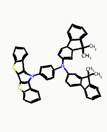 CC1(C)C2=CC(N(C3=CC4C(C=C3)c3ccccc3C4(C)C)c3ccc(N4c5c(sc6ccccc56)C5Sc6ccccc6C54)cc3)CC=C2c2ccccc21